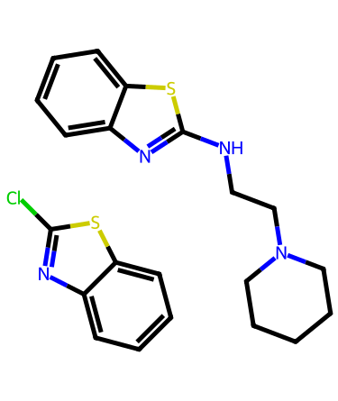 Clc1nc2ccccc2s1.c1ccc2sc(NCCN3CCCCC3)nc2c1